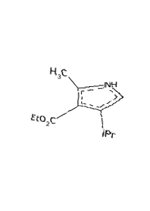 CCOC(=O)c1c(C(C)C)c[nH]c1C